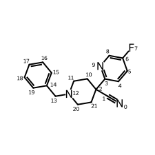 N#CC1(c2ccc(F)cn2)CCN(Cc2ccccc2)CC1